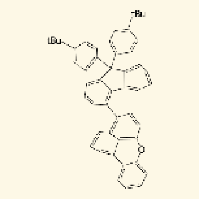 CC(C)(C)c1ccc(C2(c3ccc(C(C)(C)C)cc3)c3ccccc3-c3c(-c4ccc5c6c(cccc46)-c4ccccc4O5)cccc32)cc1